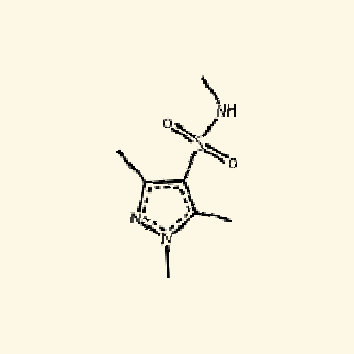 CNS(=O)(=O)c1c(C)nn(C)c1C